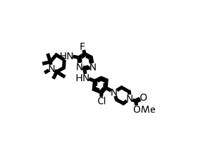 COC(=O)N1CCN(c2ccc(Nc3ncc(F)c(NC4CC(C)(C)N(C)C(C)(C)C4)n3)cc2Cl)CC1